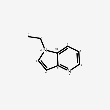 CCn1ccc2ncccc21